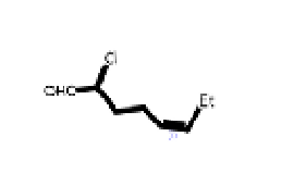 CC/C=C\CCC(Cl)C=O